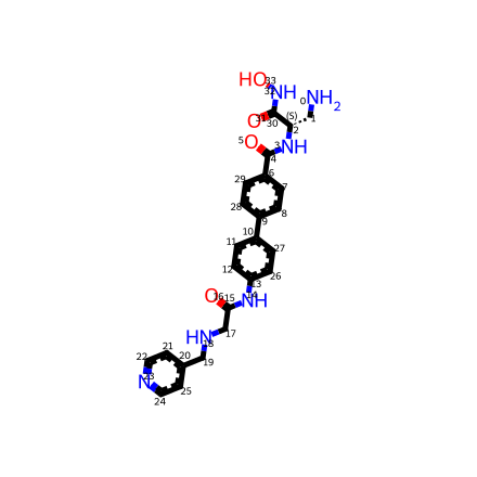 NC[C@H](NC(=O)c1ccc(-c2ccc(NC(=O)CNCc3ccncc3)cc2)cc1)C(=O)NO